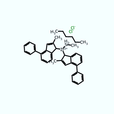 CCCCCC.C[SiH2][Zr+2]([CH]1C(C)=Cc2c(-c3ccccc3)cccc21)[CH]1C(C)=Cc2c(-c3ccccc3)cccc21.[Cl-].[Cl-]